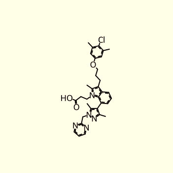 Cc1cc(OCCCc2c(C)n(CCC(=O)O)c3c(-c4c(C)nn(Cc5ncccn5)c4C)cccc23)cc(C)c1Cl